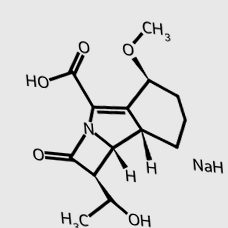 CO[C@H]1CCC[C@H]2C1=C(C(=O)O)N1C(=O)[C@H](C(C)O)[C@@H]21.[NaH]